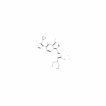 CN(C)Cc1nc(-c2cnc(N)c3c(F)c(-c4cnn(C)c4C4CC4)ccc23)sc1C1CCOCC1